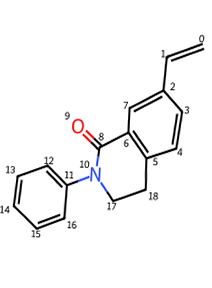 C=Cc1ccc2c(c1)C(=O)N(c1ccccc1)CC2